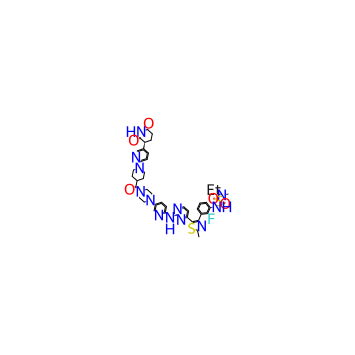 CCN(C)S(=O)(=O)Nc1cccc(-c2nc(C)sc2-c2ccnc(Nc3ccc(N4CCN(C(=O)C5CCN(c6ccc([C@@H]7CCC(=O)NC7=O)cn6)CC5)CC4)cn3)n2)c1F